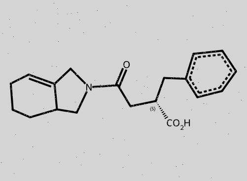 O=C(O)[C@H](CC(=O)N1CC2=CCCCC2C1)Cc1ccccc1